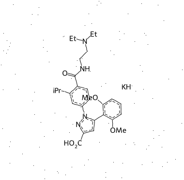 CCN(CC)CCNC(=O)c1ccc(-n2nc(C(=O)O)cc2-c2c(OC)cccc2OC)cc1C(C)C.[KH]